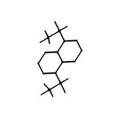 CC(O)(C1CCCC2C1CCCC2C(C)(O)C(F)(F)F)C(F)(F)F